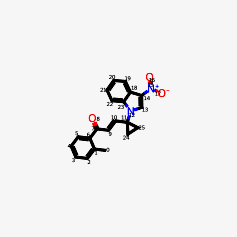 Cc1ccccc1C(=O)/C=C/C1(n2cc([N+](=O)[O-])c3ccccc32)CC1